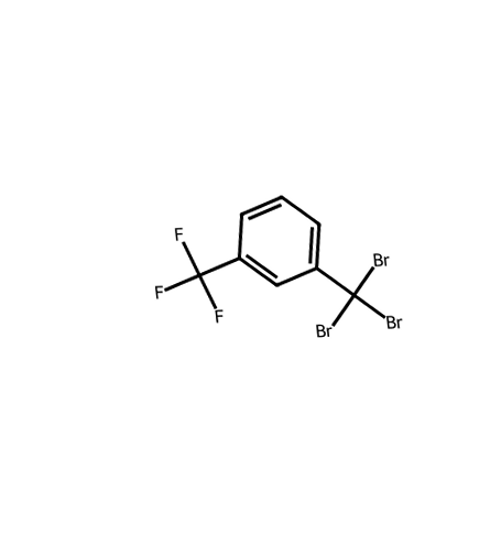 FC(F)(F)c1cccc(C(Br)(Br)Br)c1